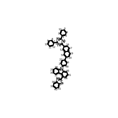 c1ccc(-c2nc(-c3ccccc3)nc(-c3ccc4ccc(-c5ccc(-n6c7ccccc7c7c(-c8nc9ccccc9s8)cccc76)cc5)cc4c3)n2)cc1